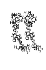 COc1ccccc1-c1c(C(N)=O)ccnc1-c1nnc(OCc2ccc(Cl)c3c2cnn3COCC[Si](C)(C)C)s1.COc1ccccc1-c1cnccc1C(=O)Nc1nnc(OCc2ccc(Cl)c3c2cnn3COCC[Si](C)(C)C)s1